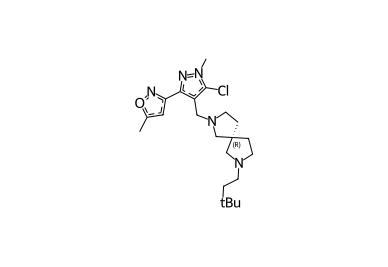 Cc1cc(-c2nn(C)c(Cl)c2CN2CC[C@@]3(CCN(CCC(C)(C)C)C3)C2)no1